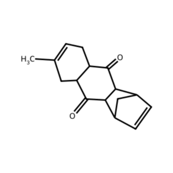 CC1=CCC2C(=O)C3C4C=CC(C4)C3C(=O)C2C1